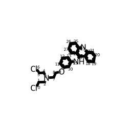 ClCCN(CCCl)CCOc1cccc(Nc2c3ccccc3nc3ccccc23)c1